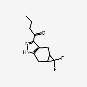 CCCC(=O)c1n[nH]c2c1CC1C(C2)C1(F)F